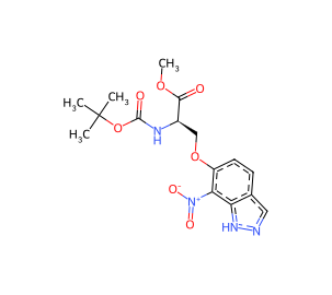 COC(=O)[C@@H](COc1ccc2cn[nH]c2c1[N+](=O)[O-])NC(=O)OC(C)(C)C